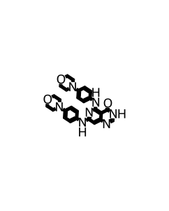 O=c1[nH]cnc2cc(Nc3ccc(N4CCOCC4)cc3)nc(Nc3ccc(N4CCOCC4)cc3)c12